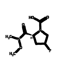 CON(C)C(=O)[C@H]1CC(F)CN1C(=O)O